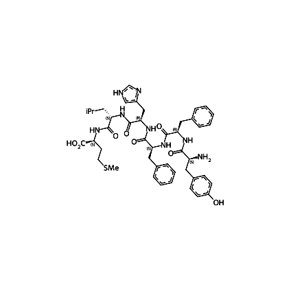 CSCC[C@H](NC(=O)[C@H](CC(C)C)NC(=O)[C@@H](Cc1c[nH]cn1)NC(=O)[C@H](Cc1ccccc1)NC(=O)[C@@H](Cc1ccccc1)NC(=O)[C@@H](N)Cc1ccc(O)cc1)C(=O)O